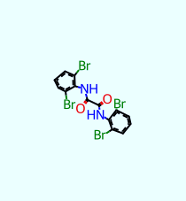 O=C(Nc1c(Br)cccc1Br)C(=O)Nc1c(Br)cccc1Br